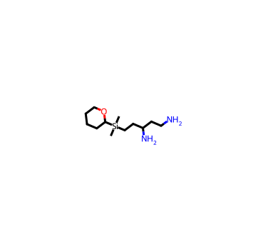 C[Si](C)(CCC(N)CCN)C1CCCCO1